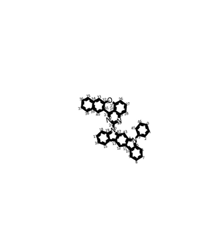 c1ccc(-n2c3ccccc3c3cc4c5ccccc5n(-c5nc6c7c(cccc7n5)Oc5cc7ccccc7cc5-6)c4cc32)cc1